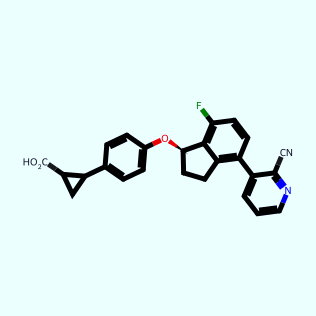 N#Cc1ncccc1-c1ccc(F)c2c1CC[C@H]2Oc1ccc(C2CC2C(=O)O)cc1